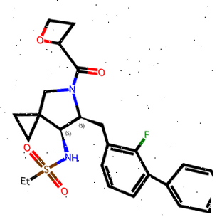 CCS(=O)(=O)N[C@@H]1[C@H](Cc2cccc(-c3ccccc3)c2F)N(C(=O)C2CCO2)CC12CC2